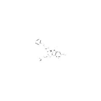 C[Si](C)(C)CCOCn1c2ncc(Br)cc2c(=O)n1C1CC(OCc2ccccc2)C1